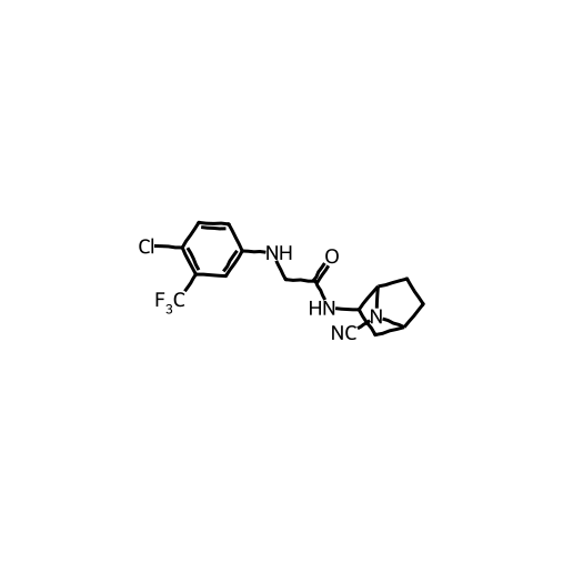 N#CN1C2CCC1C(NC(=O)CNc1ccc(Cl)c(C(F)(F)F)c1)C2